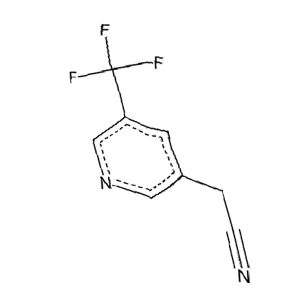 N#CCc1cncc(C(F)(F)F)c1